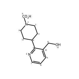 O=C(O)N1CCC(c2ncccc2CO)CC1